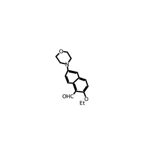 CCOc1ccc2cc(N3CCOCC3)ccc2c1C=O